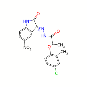 Cc1cc(Cl)ccc1OC(C)C(=O)N/N=C1/C(=O)Nc2ccc([N+](=O)[O-])cc21